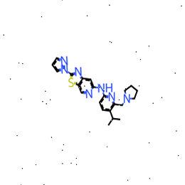 CC(C)c1ccc(Nc2cc3nc(-n4cccn4)sc3cn2)nc1CN1CCCC1